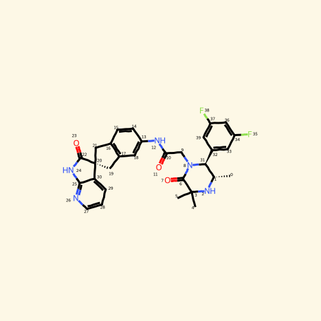 C[C@@H]1NC(C)(C)C(=O)N(CC(=O)Nc2ccc3c(c2)C[C@@]2(C3)C(=O)Nc3ncccc32)[C@H]1c1cc(F)cc(F)c1